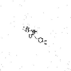 CN1C2CCC1CC(NC(=O)C=Cc1ccc(Cl)cc1)C2